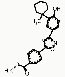 COC(=O)c1ccc(-c2nc(-c3ccc(O)c(C4(C)CCCCC4)c3)no2)cc1